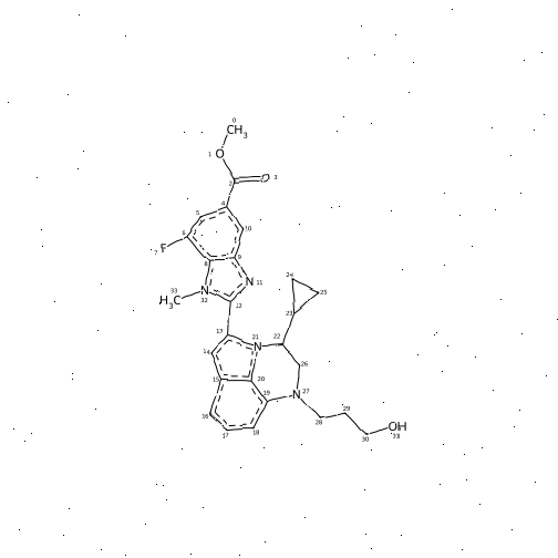 COC(=O)c1cc(F)c2c(c1)nc(-c1cc3cccc4c3n1C(C1CC1)CN4CCCO)n2C